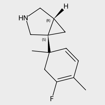 CC1=C(F)CC(C)([C@@]23CNC[C@@H]2C3)C=C1